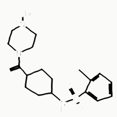 Cc1ccccc1S(=O)(=O)NC1CCC(C(=O)N2CCN(C(C)(C)C)CC2)CC1